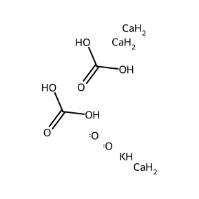 O=C(O)O.O=C(O)O.[CaH2].[CaH2].[CaH2].[KH].[O].[O]